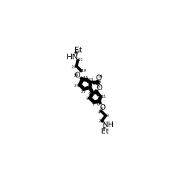 CCNCCCOc1ccc2c(c1)oc(=O)c1cc(OCCCNCC)ccc12